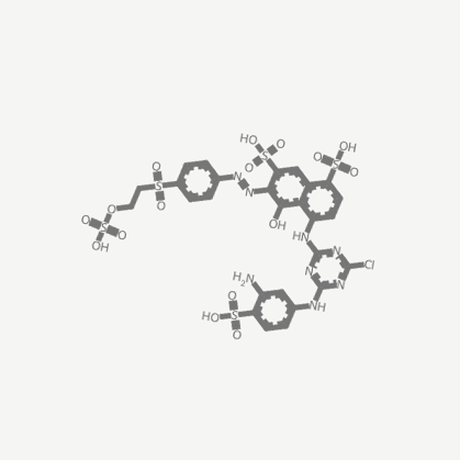 Nc1cc(Nc2nc(Cl)nc(Nc3ccc(S(=O)(=O)O)c4cc(S(=O)(=O)O)c(N=Nc5ccc(S(=O)(=O)CCOS(=O)(=O)O)cc5)c(O)c34)n2)ccc1S(=O)(=O)O